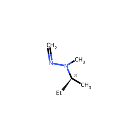 C=NN(C)[C@@H](C)CC